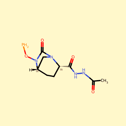 CC(=O)NNC(=O)[C@@H]1CC[C@H]2CN1C(=O)N2OP